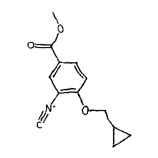 [C-]#[N+]c1cc(C(=O)OC)ccc1OCC1CC1